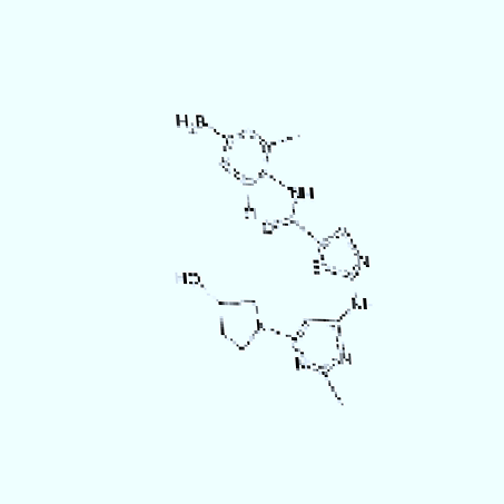 Bc1cc(C)c(NC(=O)c2cnc(Nc3cc(N4CC[C@H](O)C4)nc(C)n3)s2)c(Cl)c1